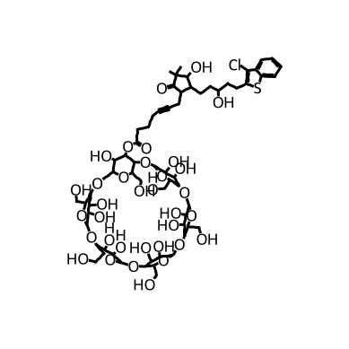 CC1(C)C(=O)C(CC#CCCCC(=O)OC2C(O)C3OC(CO)C2OC2OC(CO)C(OC4OC(CO)C(OC5OC(CO)C(OC6OC(CO)C(OC7OC(CO)C(O3)C(O)C7O)C(O)C6O)C(O)C5O)C(O)C4O)C(O)C2O)C(CCC(O)CCc2sc3ccccc3c2Cl)C1O